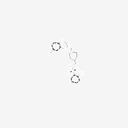 O=S(=O)(NCC1CCN(C[C@H]2COc3ccc(Cl)cc3O2)CC1)c1ccccc1Cl